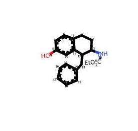 CCOC(=O)NC1CCc2ccc(O)cc2C1Cc1ccccc1